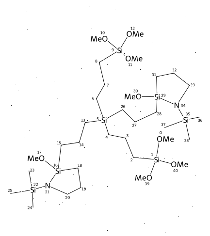 CO[Si](CCC[Si](CCC[Si](OC)(OC)OC)(CCC[Si]1(OC)CCCN1[Si](C)(C)C)CCC[Si]1(OC)CCCN1[Si](C)(C)C)(OC)OC